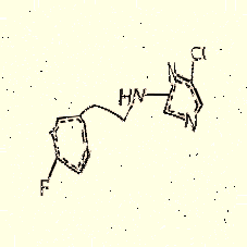 Fc1ccc(CCNc2cncc(Cl)n2)cc1